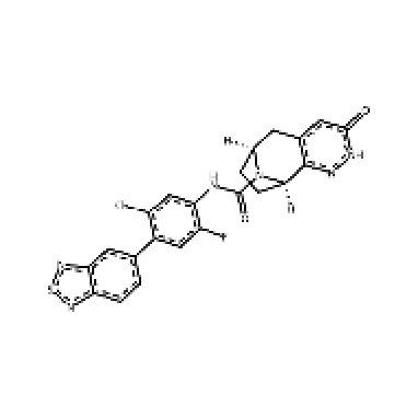 O=C(Nc1cc(Cl)c(-c2ccc3nsnc3c2)cc1F)N1[C@H]2CC[C@@H]1c1n[nH]c(=O)cc1C2